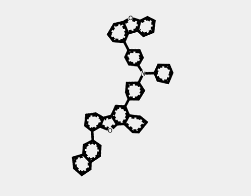 c1ccc(N(c2ccc(-c3cc4c5cccc(-c6ccc7ccccc7c6)c5oc4c4ccccc34)cc2)c2ccc(-c3cccc4oc5ccccc5c34)cc2)cc1